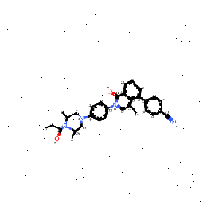 CCC(=O)N1C(C)CN(c2ccc(-n3cc(C)c4c(-c5ccc(C#N)cc5)cccc4c3=O)cc2)CC1C